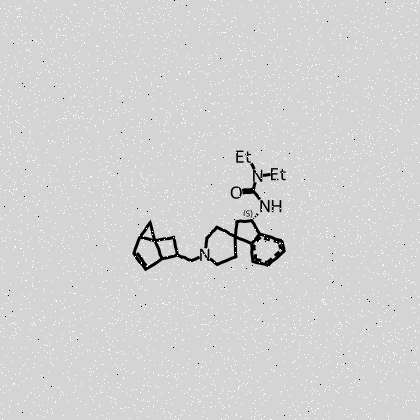 CCN(CC)C(=O)N[C@H]1CC2(CCN(CC3CC45CC4C=CC35)CC2)c2ccccc21